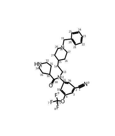 N#Cc1cc(OC(F)(F)F)cc(N(CCC2CCN(Cc3ccccc3)CC2)C(=O)C2CCNCC2)c1